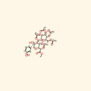 COC(=O)C[C@H]1O[C@H](c2cccc(O)c2)[C@@H](O)[C@@H](O[C@H]2O[C@H](COC(C)=O)[C@@H](OC(C)=O)[C@H](OC(C)=O)[C@@H]2OC(C)=O)[C@@H]1OC(C)=O